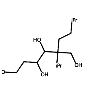 CC(C)CCC(CO)(C(C)C)C(O)C(O)CCO